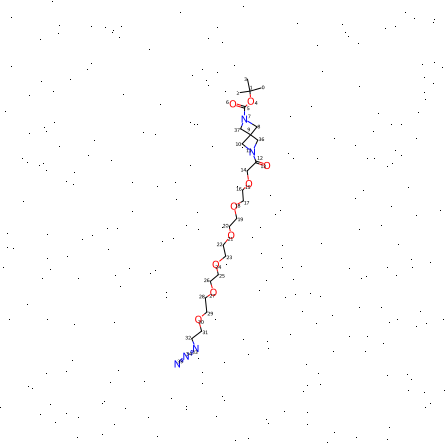 CC(C)(C)OC(=O)N1CC2(CN(C(=O)COCCOCCOCCOCCOCCOCCN=[N+]=[N-])C2)C1